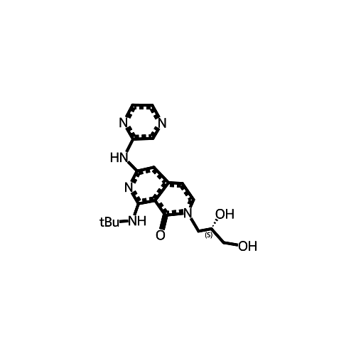 CC(C)(C)Nc1nc(Nc2cnccn2)cc2ccn(C[C@H](O)CO)c(=O)c12